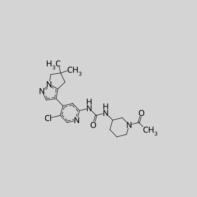 CC(=O)N1CCCC(NC(=O)Nc2cc(-c3cnn4c3CC(C)(C)C4)c(Cl)cn2)C1